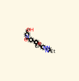 CCc1cnc(N2CCC(COc3ccc(C4=CCC(C(=O)N5CCC(CO)CC5)CC4)cc3C#N)CC2)nc1